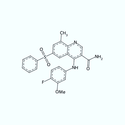 COc1cc(Nc2c(C(N)=O)cnc3c(C)cc(S(=O)(=O)c4ccccc4)cc23)ccc1F